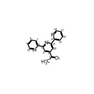 CC(=O)c1cc(-c2ccccn2)nc(-c2ccccn2)c1